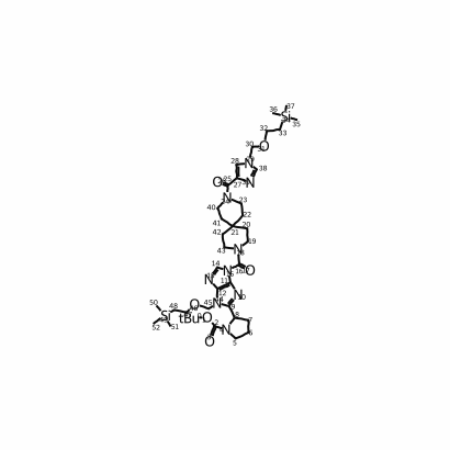 CC(C)(C)OC(=O)N1CCCC1c1nc2c(ncn2C(=O)N2CCC3(CCN(C(=O)c4cn(COCC[Si](C)(C)C)cn4)CC3)CC2)n1COCC[Si](C)(C)C